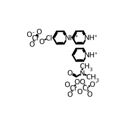 CN(C)C=O.[O]=[Cr](=[O])([O-])[O]Cl.[O]=[Cr](=[O])([O-])[O][Cr](=[O])(=[O])[O-].c1cc[nH+]cc1.c1cc[nH+]cc1.c1cc[nH+]cc1